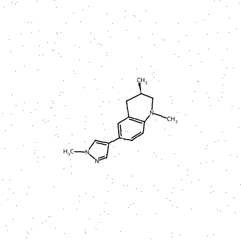 C[C@@H]1Cc2cc(-c3cnn(C)c3)ccc2N(C)C1